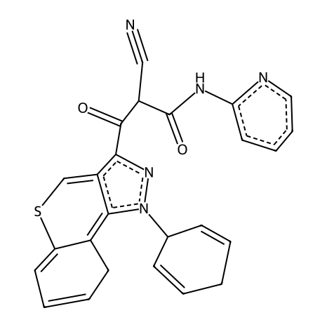 N#CC(C(=O)Nc1ccccn1)C(=O)c1nn(C2C=CCC=C2)c2c1=CSC1=CC=CCC=21